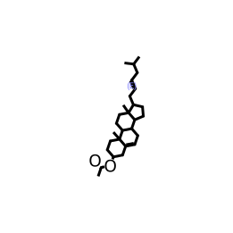 CC(=O)OC1CCC2(C)C(=CCC3C2CCC2(C)C(C/C=C/CC(C)C)CCC32)C1